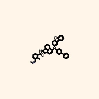 C/C=C\c1cccc(-c2nc3c(o2)-c2ccc(N(c4ccc(-c5ccccc5)cc4)c4ccc5oc6ccccc6c5c4)c4cccc-3c24)c1C